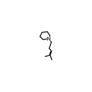 CC(C)=CCCN1CCCCC1